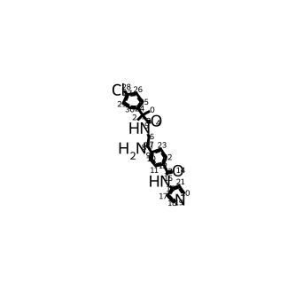 CC(C)(C(=O)NC[C@H](N)c1ccc(C(=O)Nc2ccncc2)cc1)c1ccc(Cl)cc1